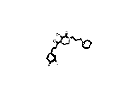 CCC1C(=O)N(CCCN2CCCCC2)CCN1C(=O)C=Cc1ccc(F)c(Cl)c1